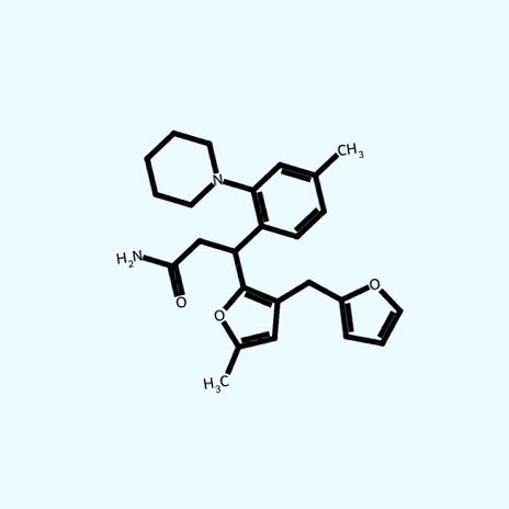 Cc1ccc(C(CC(N)=O)c2oc(C)cc2Cc2ccco2)c(N2CCCCC2)c1